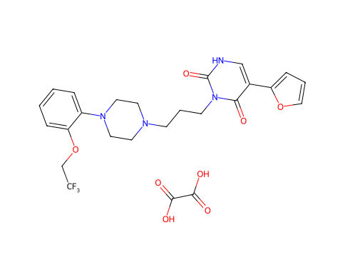 O=C(O)C(=O)O.O=c1[nH]cc(-c2ccco2)c(=O)n1CCCN1CCN(c2ccccc2OCC(F)(F)F)CC1